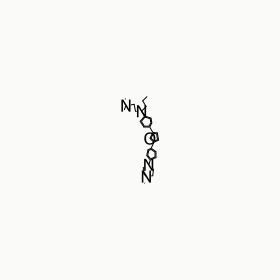 CCCN(CCN(C)C)c1ccc(-c2ccc(-c3ccc(N4CCN(C)CC4)cc3)o2)cc1